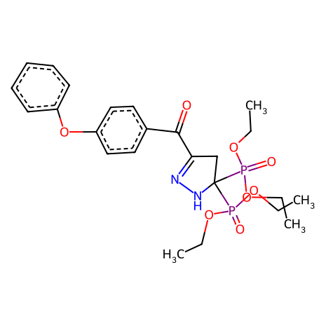 CCOP(=O)(OCC)C1(P(=O)(OCC)OCC)CC(C(=O)c2ccc(Oc3ccccc3)cc2)=NN1